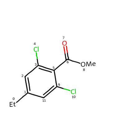 CCc1cc(Cl)c(C(=O)OC)c(Cl)c1